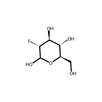 OC[C@H]1OC(O)[C@H](F)[C@@H](O)[C@@H]1O